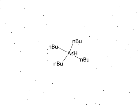 CCCC[AsH](CCCC)(CCCC)CCCC